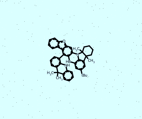 CC(C)(C)c1cc2c3c(c1)C1(C)CCCCC1(C)N3c1cc3oc4ccccc4c3c(-c3cccc4c3Nc3ccccc3C4(C)C)c1B2